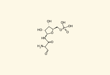 NC(C=O)C(=O)N[C@@H]1O[C@H](COP(=O)(O)O)[C@@H](O)[C@H]1O